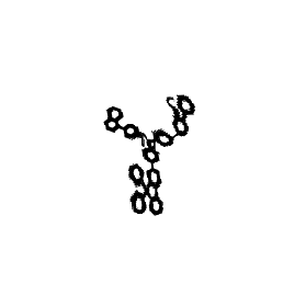 c1ccc(C2(c3ccccc3)c3ccccc3-c3ccc(-c4ccc(N(c5ccc(-c6ccc7c(c6)sc6ccccc67)cc5)c5ccc(-c6cccc7ccccc67)cc5)cc4)cc32)cc1